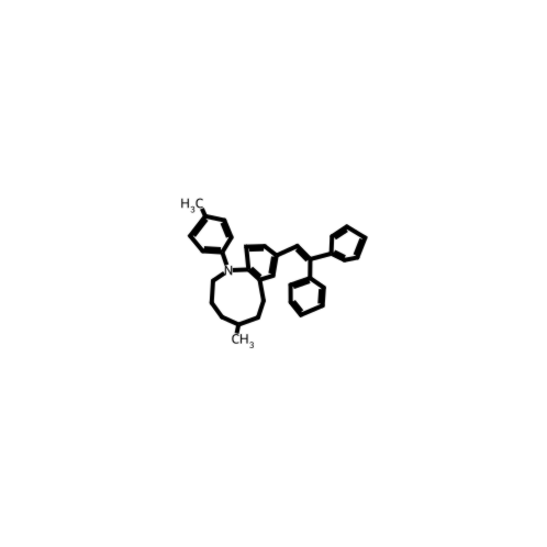 Cc1ccc(N2CCCC(C)CCc3cc(C=C(c4ccccc4)c4ccccc4)ccc32)cc1